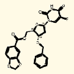 O=C(OC[C@H]1O[C@@H](n2cc(F)c(=O)[nH]c2=O)C[C@@H]1OCc1ccccc1)c1ccc2c(c1)OCO2